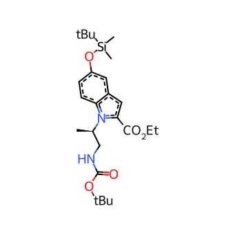 CCOC(=O)c1cc2cc(O[Si](C)(C)C(C)(C)C)ccc2n1[C@H](C)CNC(=O)OC(C)(C)C